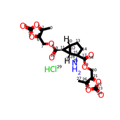 Cc1oc(=O)oc1COC(=O)[C@H]1[C@@H]2CC[C@@](N)(C(=O)OCc3oc(=O)oc3C)[C@@H]21.Cl